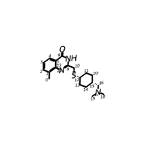 Cc1cccc2c(=O)[nH]c(CS[C@H]3CC[C@@H](CN(C)C)CC3)nc12